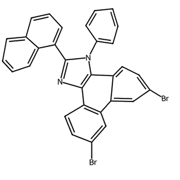 Brc1ccc2c(c1)c1cc(Br)ccc1c1c2nc(-c2cccc3ccccc23)n1-c1ccccc1